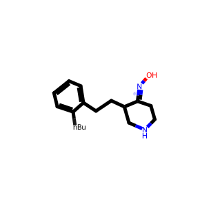 CCCCc1ccccc1CCC1CNCC/C1=N\O